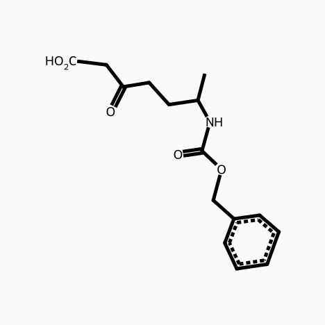 CC(CCC(=O)CC(=O)O)NC(=O)OCc1ccccc1